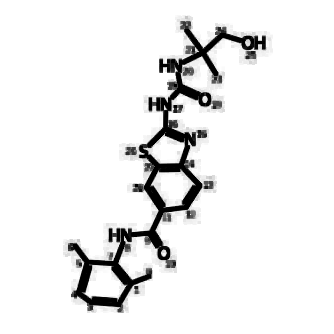 Cc1cccc(C)c1NC(=O)c1ccc2nc(NC(=O)NC(C)(C)CO)sc2c1